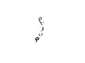 CC(C)(CNC(=O)CC(CC1CCCC1)N(O)C=O)CC(=O)N1CCN(Cc2cccc(C#N)c2)CC1